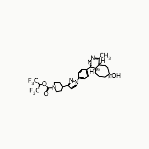 CC1=NN=C(c2ccc(-n3ccc(C4CCN(C(=O)OC(C(F)(F)F)C(F)(F)F)CC4)n3)cc2)[C@@H]2CCC[C@H](O)CC[C@@H]12